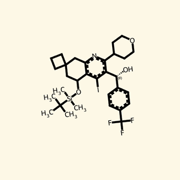 CC(C)(C)[Si](C)(C)OC1CC2(CCC2)Cc2nc(C3CCOCC3)c([C@H](O)c3ccc(C(F)(F)F)cc3)c(I)c21